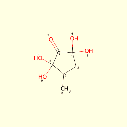 CC1CC(O)(O)C(=O)C1(O)O